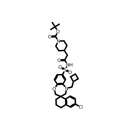 CC(C)(C)OC(=O)N1CCC(CC(=O)NS(=O)(=O)c2ccc3c(c2)N(CC2CCC2)CC2(CCCc4cc(Cl)ccc42)CO3)CC1